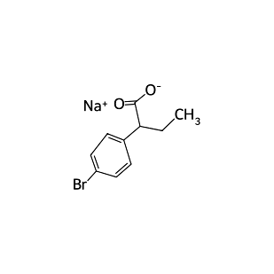 CCC(C(=O)[O-])c1ccc(Br)cc1.[Na+]